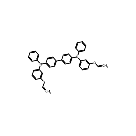 C=COc1cccc(N(c2ccccc2)c2ccc(-c3ccc(N(c4ccccc4)c4cccc(SC=C)c4)cc3)cc2)c1